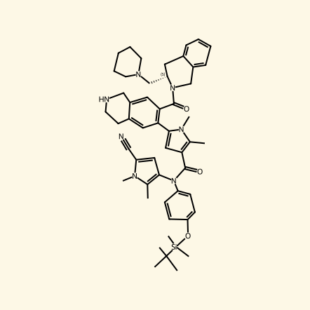 Cc1c(N(C(=O)c2cc(-c3cc4c(cc3C(=O)N3Cc5ccccc5C[C@H]3CN3CCCCC3)CNCC4)n(C)c2C)c2ccc(O[Si](C)(C)C(C)(C)C)cc2)cc(C#N)n1C